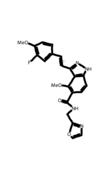 COc1ccc(/C=C/c2n[nH]c3ccc(C(=O)NCc4ncco4)c(OC)c23)cc1F